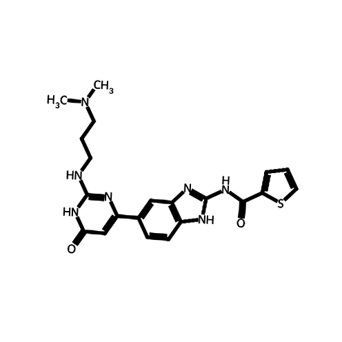 CN(C)CCCNc1nc(-c2ccc3[nH]c(NC(=O)c4cccs4)nc3c2)cc(=O)[nH]1